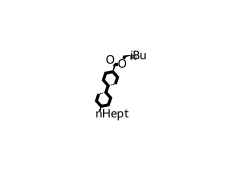 CCCCCCC[C@H]1CC[C@H]([C@H]2CC[C@H](C(=O)OC[C@H](C)CC)CC2)CC1